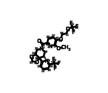 COc1nc(C(=O)N2CCC3(c4cccc(C(F)(F)F)n4)OCOC3C2)ccc1OCCOC(F)(F)F